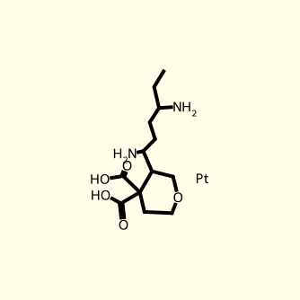 CCC(N)CCC(N)C1COCCC1(C(=O)O)C(=O)O.[Pt]